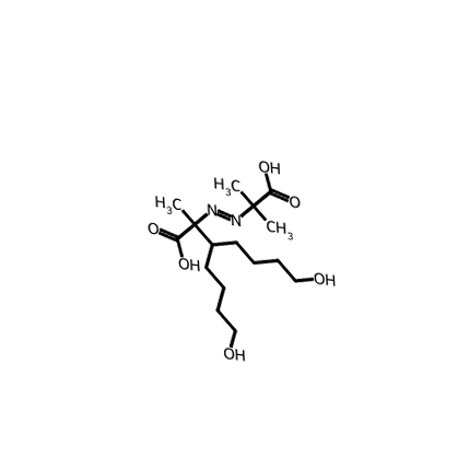 CC(C)(N=NC(C)(C(=O)O)C(CCCCO)CCCCO)C(=O)O